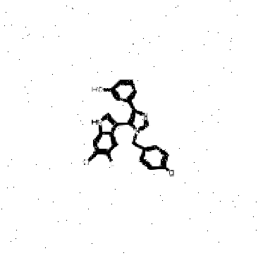 Oc1cccc(-c2ncn(Cc3ccc(Cl)cc3)c2-c2c[nH]c3cc(Cl)c(F)cc23)c1